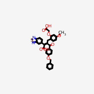 COc1ccc(CC(C(=O)c2ccc(OCc3ccccc3)cc2)=C(C(=O)O)c2ccc3nsnc3c2)c(OCC(=O)O)c1